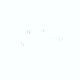 C=C(C(C(=O)OCC)c1ccccc1)P1(=O)N(c2ccccc2)CCN1c1ccccc1